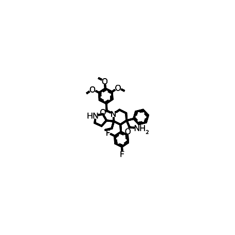 CCC1(C2CCNC2)C(c2ccc(F)cc2F)C(C(N)=O)(c2ccccc2)CCN1C(=O)c1cc(OC)c(OC)c(OC)c1